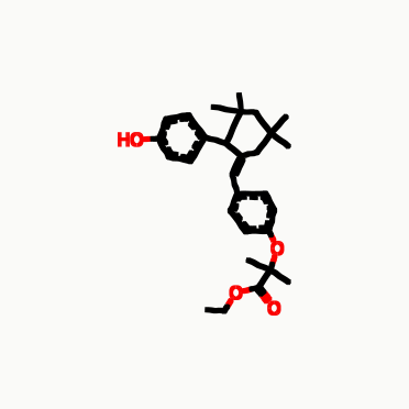 CCOC(=O)C(C)(C)Oc1ccc(C=C2CC(C)(C)CC(C)(C)C2c2ccc(O)cc2)cc1